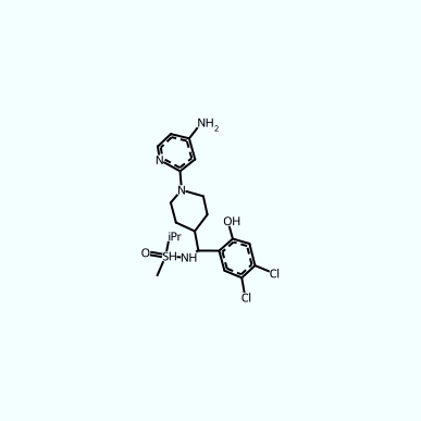 CC(C)[SH](C)(=O)N[C@@H](c1cc(Cl)c(Cl)cc1O)C1CCN(c2cc(N)ccn2)CC1